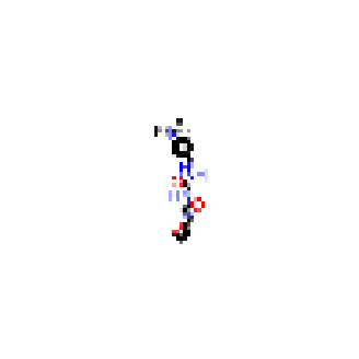 CCN(CC)c1ccc(/C=N/NC(=O)CNC(=O)/C=C/c2ccco2)cc1